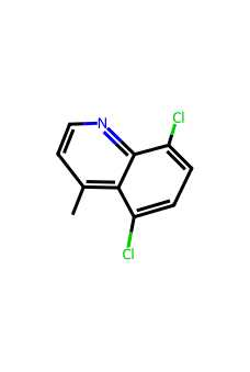 Cc1ccnc2c(Cl)ccc(Cl)c12